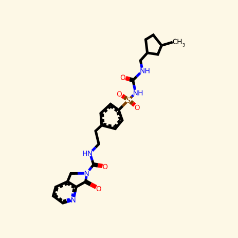 CC1CCC(CNC(=O)NS(=O)(=O)c2ccc(CCNC(=O)N3Cc4cccnc4C3=O)cc2)C1